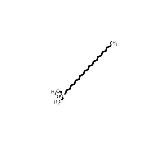 CCCCCCCCCCCCCCCCCCCCCC[N+]([O-])(CC)CC